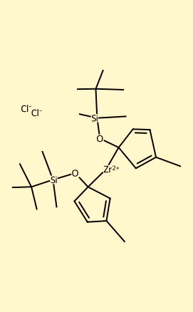 CC1=C[C](O[Si](C)(C)C(C)(C)C)([Zr+2][C]2(O[Si](C)(C)C(C)(C)C)C=CC(C)=C2)C=C1.[Cl-].[Cl-]